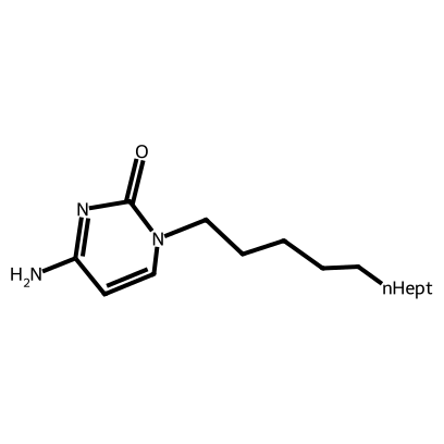 CCCCCCCCCCCCn1ccc(N)nc1=O